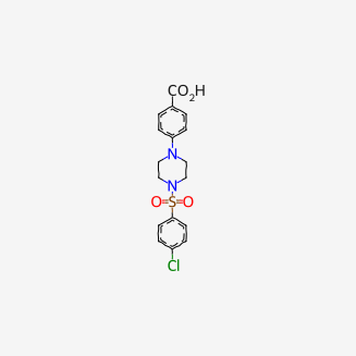 O=C(O)c1ccc(N2CCN(S(=O)(=O)c3ccc(Cl)cc3)CC2)cc1